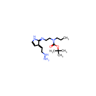 CCCN(CC/N=C1/NC=C/C1=C\CNN)C(=O)OC(C)(C)C